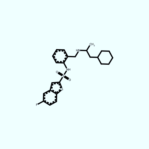 CC(CC1CCCCC1)NCc1ccccc1NS(=O)(=O)c1cc2cc(F)ccc2s1